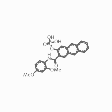 COc1ccc(NC(=O)c2cc3cc4ccccc4cc3cc2OP(=O)(O)O)c(OC)c1